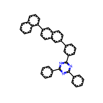 c1ccc(-c2nc(-c3ccccc3)nc(-c3cccc(-c4ccc5cc(-c6cccc7ccccc67)ccc5c4)c3)n2)cc1